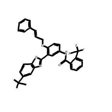 CC(C)(C)c1ccc2oc(-c3cc(NC(=O)c4ccccc4C(F)(F)F)ccc3OC/C=C/c3ccccc3)nc2c1